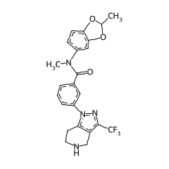 CC1Oc2ccc(N(C)C(=O)c3cccc(-n4nc(C(F)(F)F)c5c4CCNC5)c3)cc2O1